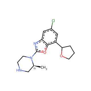 C[C@H]1CNCCN1c1nc2cc(Cl)cc(C3CCCO3)c2o1